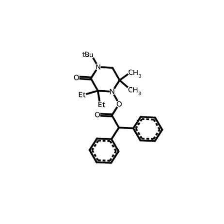 CCC1(CC)C(=O)N(C(C)(C)C)CC(C)(C)N1OC(=O)C(c1ccccc1)c1ccccc1